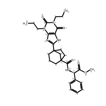 CCCn1c(=O)c2[nH]c(C34CCCC(C(=O)N[C@@H](C(=O)OC)c5ccccc5)(CC3)C4)nc2n(CCC)c1=O